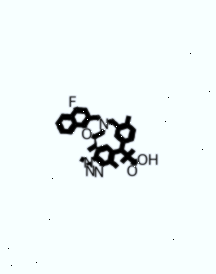 CC[C@@H]1CN(Cc2cc(C(c3ccc4c(nnn4C)c3C)C(C)(C)C(=O)O)ccc2C)Cc2cc(F)c3ccccc3c2O1